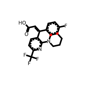 O=C(O)C=C(c1ccc(F)cc1)c1ccc(C(F)(F)F)nc1N1CCCCC1